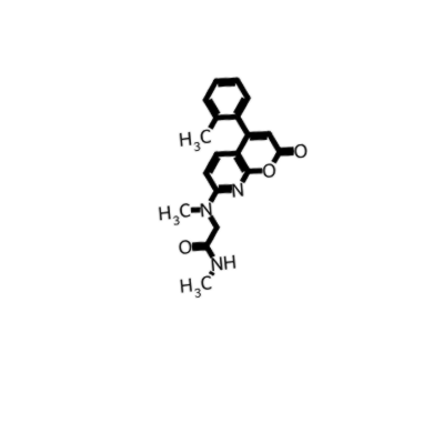 CNC(=O)CN(C)c1ccc2c(-c3ccccc3C)cc(=O)oc2n1